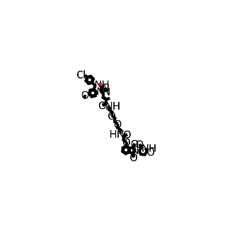 COc1ccc(-n2c(C)nnc2/C=C(\C)C(=O)NCCOCCOCCNC(=O)COc2cccc3c2C(=O)N(C2CCC(=O)NC2=O)C3=O)c(C(=N)c2ccc(Cl)cc2)c1